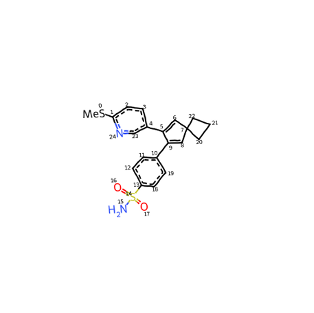 CSc1ccc(C2=CC3(C=C2c2ccc(S(N)(=O)=O)cc2)CCC3)cn1